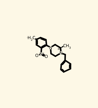 [CH2]c1ccc(N2CCN(Cc3ccccc3)[C@H](C)C2)c([N+](=O)[O-])c1